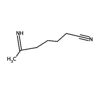 CC(=N)CCCCC#N